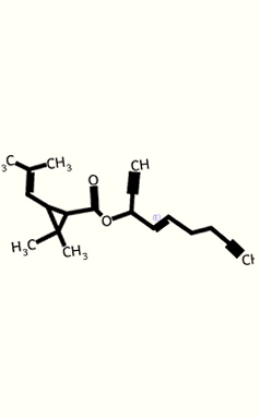 C#CCC/C=C/C(C#C)OC(=O)C1C(C=C(C)C)C1(C)C